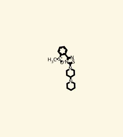 C[S+]([O-])c1ccccc1-c1nsc(N2CCC(N3CCCCC3)CC2)n1